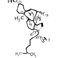 CC(C)CCC[C@@H](C)[C@H]1CC[C@H]2[C@@H]3C(N)C=C4C[C@@H](O)CC[C@]4(C)[C@H]3CC[C@]12C